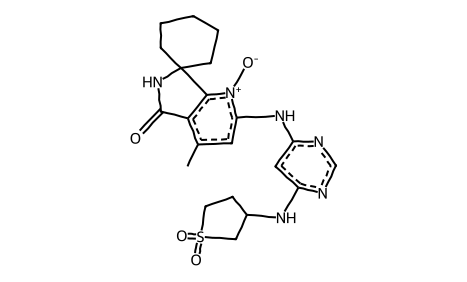 Cc1cc(Nc2cc(NC3CCS(=O)(=O)C3)ncn2)[n+]([O-])c2c1C(=O)NC21CCCCC1